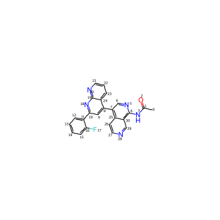 CC(=O)Nc1ncc(-c2cc(-c3ccccc3F)nc3ncccc23)c2ccncc12